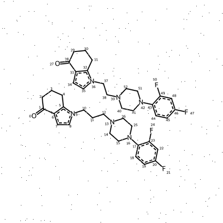 O=C1CCCc2c1ccn2CCCN1CCN(c2ccc(F)cc2F)CC1.O=C1CCCc2c1ccn2CCN1CCN(c2ccc(F)cc2F)CC1